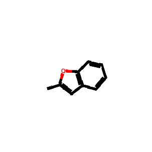 Cc1cc2[c]cccc2o1